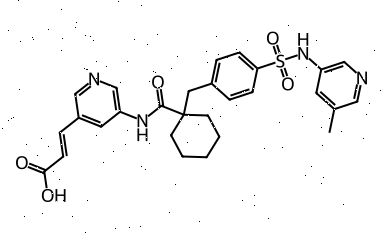 Cc1cncc(NS(=O)(=O)c2ccc(CC3(C(=O)Nc4cncc(/C=C/C(=O)O)c4)CCCCC3)cc2)c1